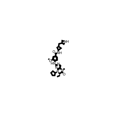 CC[C@@H]1C(=O)N(C)c2cnc(Nc3ccc(C(=O)NC4CC(CC5CNC5)C4)cc3OC)nc2N1C1CCCC1